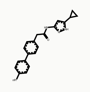 CCCc1ccc(-c2ccc(CC(=O)Nc3cc(C4CC4)[nH]n3)cc2)cc1